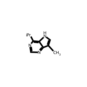 Cc1c[nH]c2c(C(C)C)ncnc12